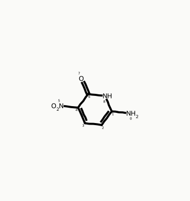 Nc1ccc([N+](=O)[O-])c(=O)[nH]1